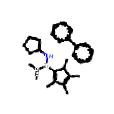 CC1=C(C)C(C)[C]([Zr]([NH]C2CCCC2)[SiH](C)C)=C1C.c1ccc(-c2ccccc2)cc1